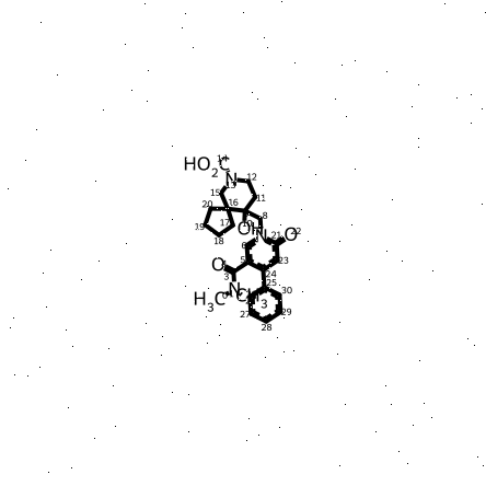 CN(C)C(=O)c1cn(CC2(O)CCN(C(=O)O)CC23CCCC3)c(=O)cc1-c1ccccc1